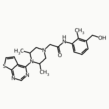 Cc1c(CO)cccc1NC(=O)CN1CC(C)N(c2ncnc3sccc23)C(C)C1